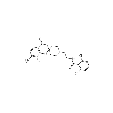 Nc1ccc2c(c1Cl)OC1(CCN(CCNC(=O)c3c(Cl)cccc3Cl)CC1)CC2=O